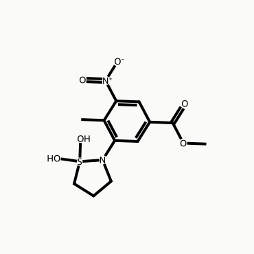 COC(=O)c1cc(N2CCCS2(O)O)c(C)c([N+](=O)[O-])c1